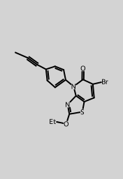 CC#Cc1ccc(-n2c(=O)c(Br)cc3sc(OCC)nc32)cc1